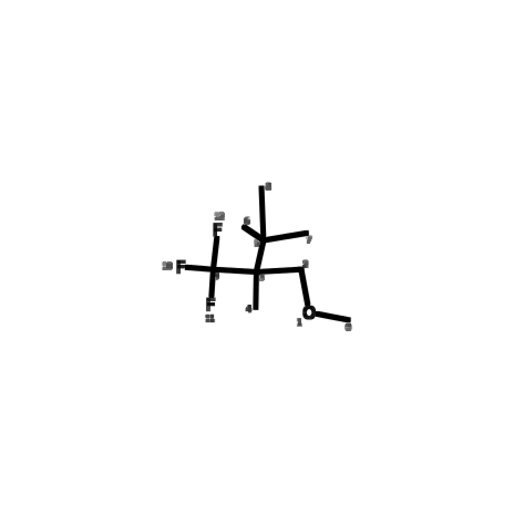 COCC(C)(C(C)(C)C)C(F)(F)F